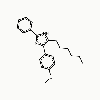 CCCCCCc1[nH]c(-c2ccccc2)nc1-c1ccc(OC)cc1